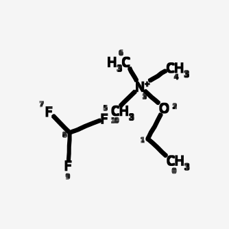 CCO[N+](C)(C)C.FC(F)F